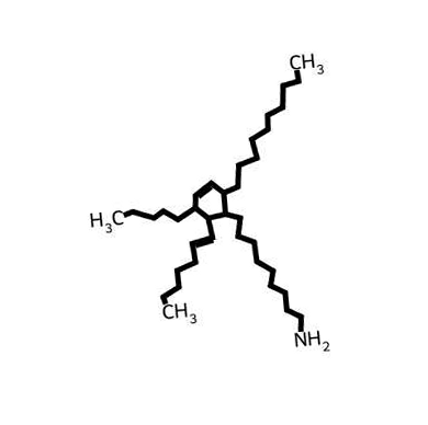 CCCCC/C=C/C1C(CCCCC)C=CC(CCCCCCCCCC)C1CCCCCCCCCN